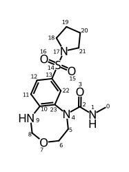 CNC(=O)N1CCOCNc2ccc(S(=O)(=O)N3CCCC3)cc21